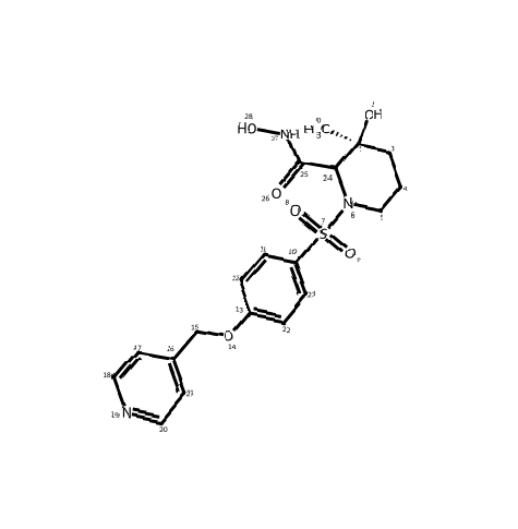 C[C@]1(O)CCCN(S(=O)(=O)c2ccc(OCc3ccncc3)cc2)C1C(=O)NO